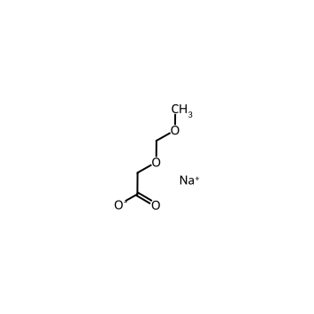 COCOCC(=O)[O-].[Na+]